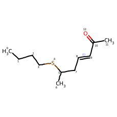 CCCCSC(C)C/C=C/C(C)=O